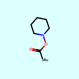 CCCCC(=O)ON1CCCCC1